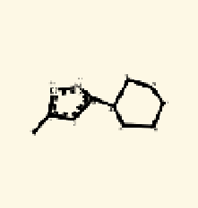 Cc1cc(C2CCCCC2)no1